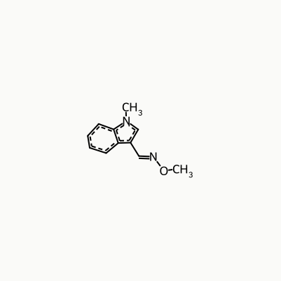 CON=Cc1cn(C)c2ccccc12